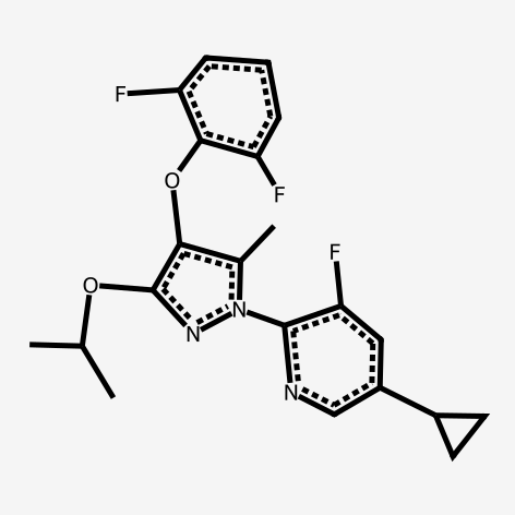 Cc1c(Oc2c(F)cccc2F)c(OC(C)C)nn1-c1ncc(C2CC2)cc1F